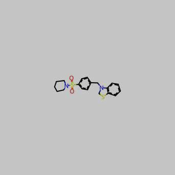 O=S(=O)(c1ccc(CN2CSc3ccccc32)cc1)N1CCCCC1